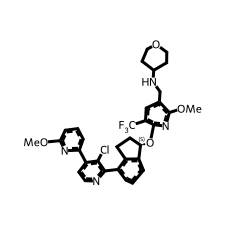 COc1cccc(-c2ccnc(-c3cccc4c3CC[C@@H]4Oc3nc(OC)c(CNC4CCOCC4)cc3C(F)(F)F)c2Cl)n1